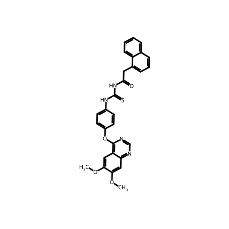 COc1cc2ncnc(Oc3ccc(NC(=S)NC(=O)Cc4cccc5ccccc45)cc3)c2cc1OC